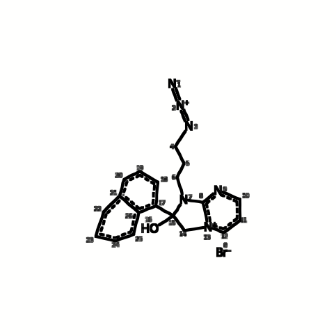 [Br-].[N-]=[N+]=NCCCN1c2nccc[n+]2CC1(O)c1cccc2ccccc12